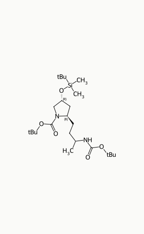 CC(CC[C@@H]1C[C@@H](O[Si](C)(C)C(C)(C)C)CN1C(=O)OC(C)(C)C)NC(=O)OC(C)(C)C